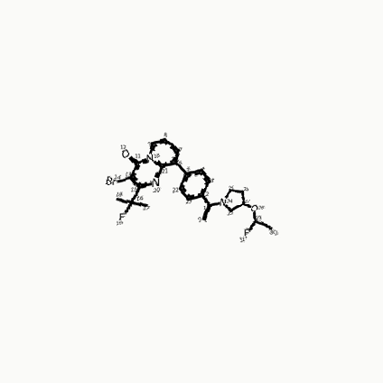 C=C(c1ccc(-c2cccn3c(=O)c(Br)c(C(C)(C)F)nc23)cc1)N1CCC(OC(C)F)C1